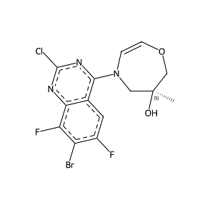 C[C@@]1(O)COC=CN(c2nc(Cl)nc3c(F)c(Br)c(F)cc23)C1